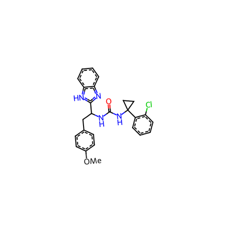 COc1ccc(CC(NC(=O)NC2(c3ccccc3Cl)CC2)c2nc3ccccc3[nH]2)cc1